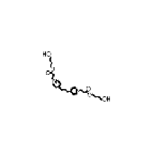 O=C(CCN1CCC(CCCC2CCN(CCC(=O)OCCCCO)CC2)CC1)OCCCCO